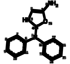 NC1=CNN(N(c2ccccc2)c2ccccc2)O1